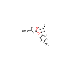 C=C(CC(=O)O[C@]1(c2ccc(C(F)(F)F)cc2)C[C@H](C)C1)C(=O)O